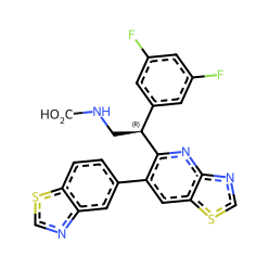 O=C(O)NC[C@@H](c1cc(F)cc(F)c1)c1nc2ncsc2cc1-c1ccc2scnc2c1